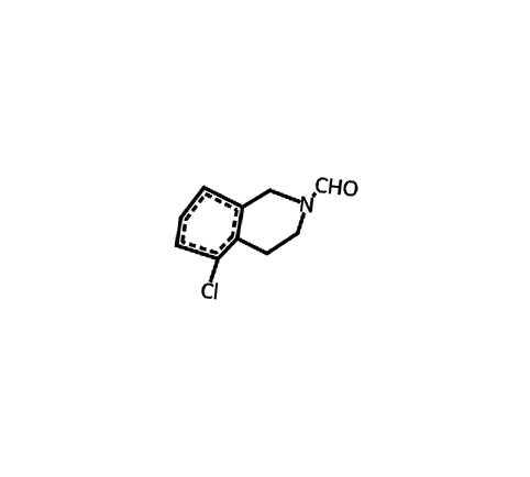 O=CN1CCc2c(Cl)cccc2C1